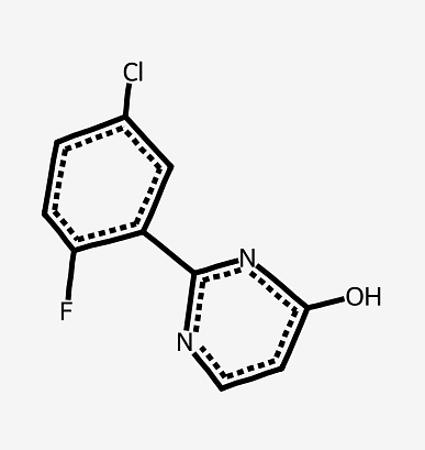 Oc1ccnc(-c2cc(Cl)ccc2F)n1